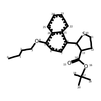 CCCCOc1ccc(C2SCCC2C(=O)OC(C)(C)C)c2ccccc12